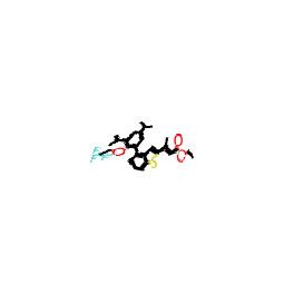 CCOC(=O)/C=C(\C)c1cc2c(-c3cc(C(C)C)cc(C(C)C)c3OCC(F)(F)F)cccc2s1